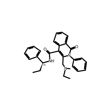 CC[C@H](NC(=O)c1c(CN(C)CC)n(-c2ccccc2)c(=O)c2ccccc12)c1ccccc1